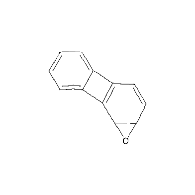 C1=CC2OC2C2=C1c1ccccc12